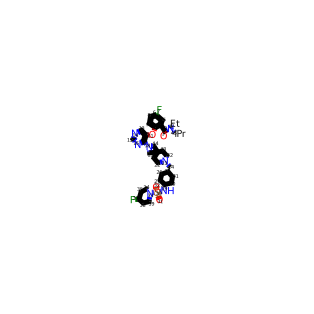 CCN(C(=O)c1cc(F)ccc1Oc1cncnc1N1CC2(CCN(C[C@H]3CC[C@H](NS(=O)(=O)N4CCC(F)CC4)CC3)CC2)C1)C(C)C